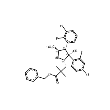 CC(C)(C[C@@H]1N[C@@H](C(=O)O)[C@H](c2cccc(Cl)c2F)[C@@]1(C#N)c1ccc(Cl)cc1F)C(=O)OCc1ccccc1